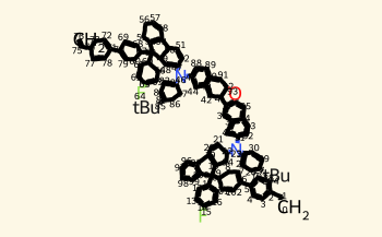 C=Cc1ccc(C2=CCC(C3(c4ccc(F)cc4)C4=C(C=CC(N(C5=CCC(C(C)(C)C)C=C5)c5ccc6cc7c(cc6c5)C5C=c6cc(N(C8=CC9C(C=C8)C8=C(CCC=C8)C9(C8C=CC(F)=CC8)C8C=CC(C9=CCC(C=C)C=C9)=CC8)C8=CC=C(C(C)(C)C)CC8)ccc6=CC5O7)C4)c4ccccc43)C=C2)cc1